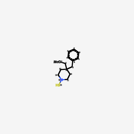 COCC1(Cc2ccccc2)CCN(S)CC1